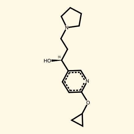 O[C@@H](CCN1CCCC1)c1ccc(OC2CC2)nc1